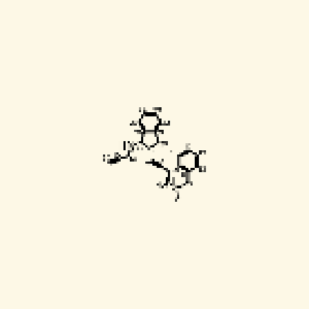 C#CCN(C)[C@H](C)Cc1ccccc1.C#CCN[C@@H]1CCc2ccccc21